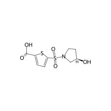 O=C(O)c1ccc(S(=O)(=O)N2CC[C@@H](O)C2)s1